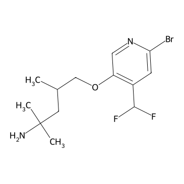 CC(COc1cnc(Br)cc1C(F)F)CC(C)(C)N